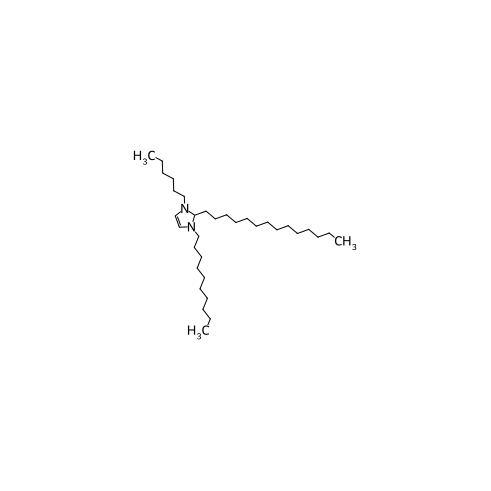 CCCCCCCCCCCCCCC1N(CCCCCC)C=CN1CCCCCCCCCC